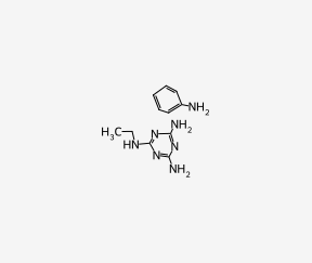 CCNc1nc(N)nc(N)n1.Nc1ccccc1